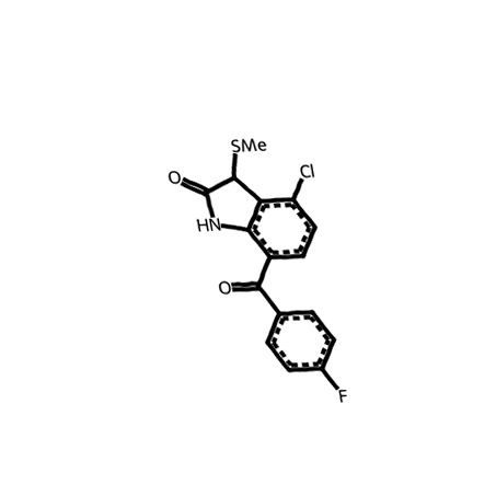 CSC1C(=O)Nc2c(C(=O)c3ccc(F)cc3)ccc(Cl)c21